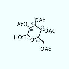 CC(=O)OC[C@H]1O[C@@H](O)[C@H](OC(C)=O)[C@@H](OC(C)=O)[C@H]1OC(C)=O